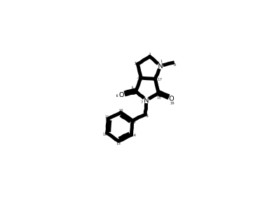 CN1CCC2C(=O)N(Cc3ccccc3)C(=O)C21